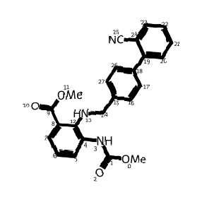 COC(=O)Nc1cccc(C(=O)OC)c1NCc1ccc(-c2ccccc2C#N)cc1